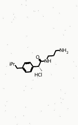 CC(C)Cc1ccc([C@@H](C)C(=O)NCCCN)cc1.Cl